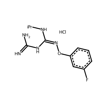 CC(C)NC(=NOc1cccc(F)c1)NC(=N)N.Cl